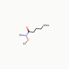 CCCCCCCCCC(=O)N(CC)OCC